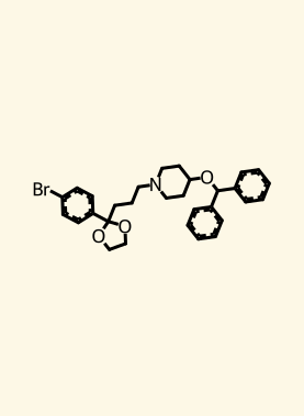 Brc1ccc(C2(CCCN3CCC(OC(c4ccccc4)c4ccccc4)CC3)OCCO2)cc1